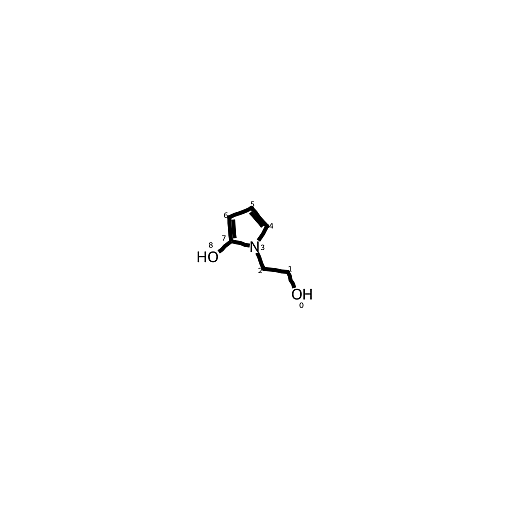 OCCn1cccc1O